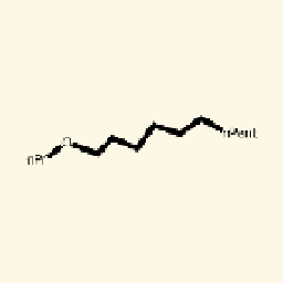 CC[CH]OCCCCCCCCCCC